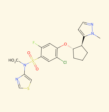 Cn1nccc1[C@H]1CCC[C@@H]1Oc1cc(F)c(S(=O)(=O)N(C(=O)O)c2cscn2)cc1Cl